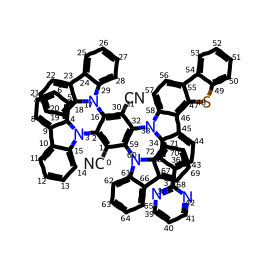 N#Cc1c(-n2c3ccccc3c3ccccc32)c(-n2c3ccccc3c3ccccc32)c(C#N)c(-n2c3cc(-c4ncccn4)ccc3c3c4sc5ccccc5c4ccc32)c1-n1c2ccccc2c2ccccc21